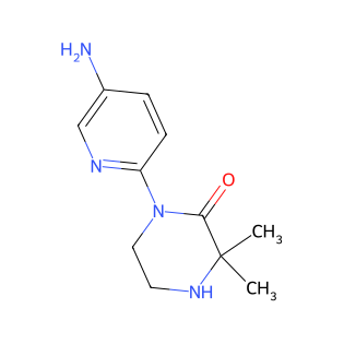 CC1(C)NCCN(c2ccc(N)cn2)C1=O